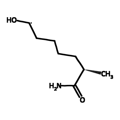 C[C@@H](CCCC[CH]O)C(N)=O